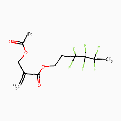 C=C(COC(=O)C(C)C)C(=O)OCCC(F)(F)C(F)(F)C(F)(F)C(F)(F)F